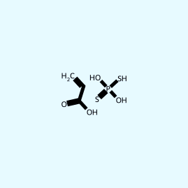 C=CC(=O)O.OP(O)(=S)S